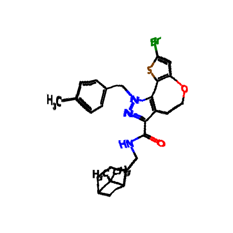 Cc1ccc(Cn2nc(C(=O)NCC3CCC4CC3C4(C)C)c3c2-c2sc(Br)cc2OCC3)cc1